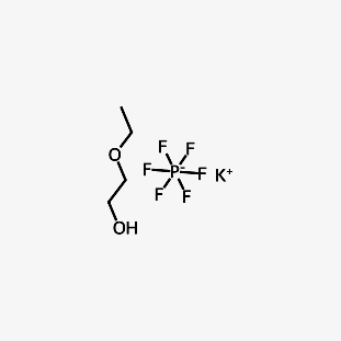 CCOCCO.F[P-](F)(F)(F)(F)F.[K+]